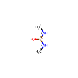 CN[S+]([O-])NC